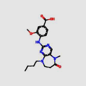 CCCCN1CCC(=O)N(C)c2cnc(Nc3ccc(C(=O)O)cc3OC)nc21